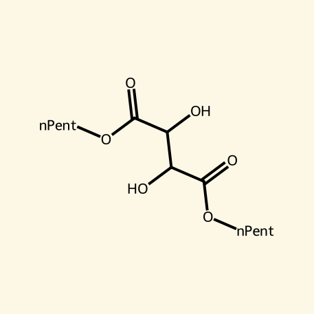 CCCCCOC(=O)C(O)C(O)C(=O)OCCCCC